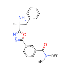 CCCN(CCC)C(=O)c1cccc(-c2nnc([C@@](C)(N)Cc3ccccc3)o2)c1